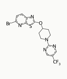 FC(F)(F)c1cnc(N2CCC(Oc3nc4ccc(Br)nc4s3)CC2)nc1